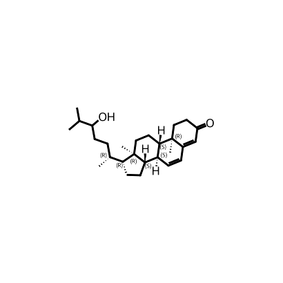 CC(C)C(O)CC[C@@H](C)[C@H]1CC[C@H]2[C@@H]3C=CC4=CC(=O)CC[C@]4(C)[C@H]3CC[C@]12C